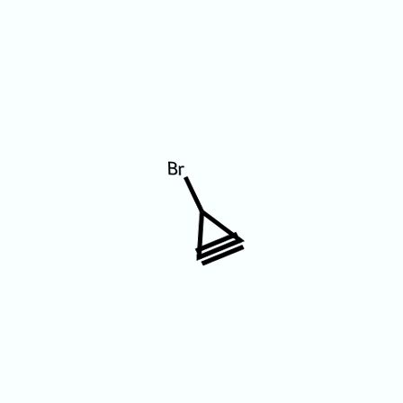 BrC1C#C1